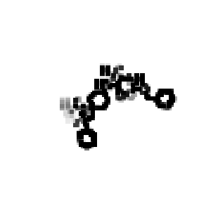 CC(NC(=O)OCc1ccccc1)C(=O)NC1CCC(CCc2ccccc2)(N(C)C)CC1